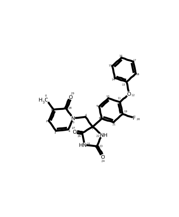 Cc1cccn(CC2(c3ccc(Oc4ccccc4)c(F)c3)NC(=O)NC2=O)c1=O